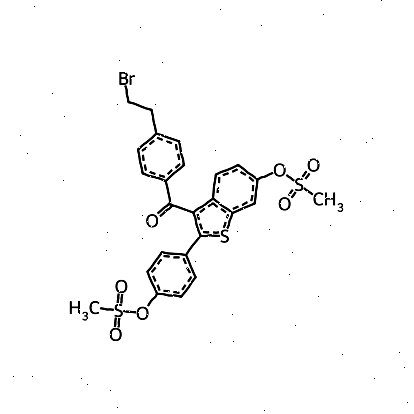 CS(=O)(=O)Oc1ccc(-c2sc3cc(OS(C)(=O)=O)ccc3c2C(=O)c2ccc(CCBr)cc2)cc1